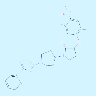 CS(=O)(=O)c1cc(F)c(OC2CCN(C3CCN(c4nc(-c5ccccc5)ns4)CC3)C2=O)cc1F